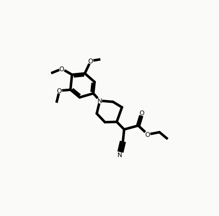 CCOC(=O)C(C#N)C1CCN(c2cc(OC)c(OC)c(OC)c2)CC1